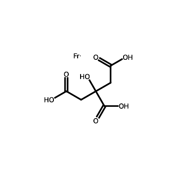 O=C(O)CC(O)(CC(=O)O)C(=O)O.[Fr]